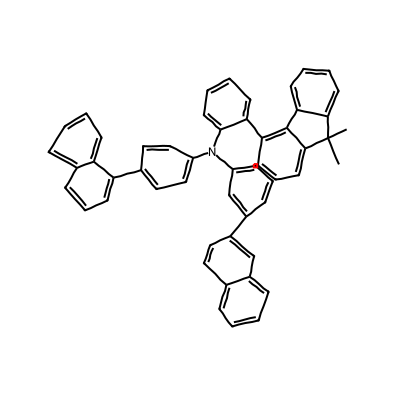 CC1(C)c2ccccc2-c2c(-c3ccccc3N(c3ccc(-c4cccc5ccccc45)cc3)c3cccc(-c4ccc5ccccc5c4)c3)cccc21